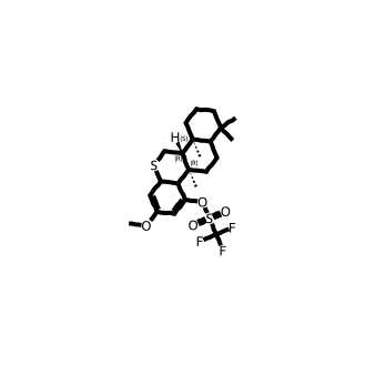 COC1=CC2SC[C@H]3[C@@](C)(CCC4C(C)(C)CCC[C@@]43C)C2C(OS(=O)(=O)C(F)(F)F)=C1